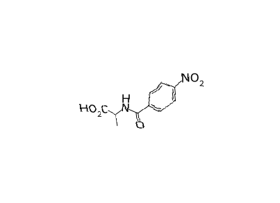 CC(NC(=O)c1ccc([N+](=O)[O-])cc1)C(=O)O